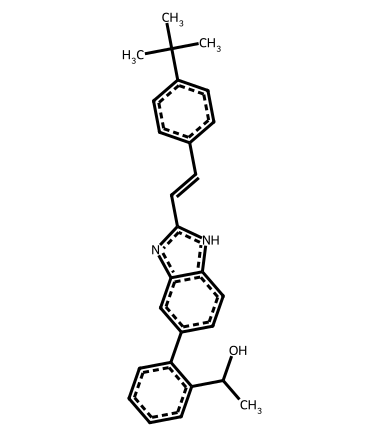 CC(O)c1ccccc1-c1ccc2[nH]c(/C=C/c3ccc(C(C)(C)C)cc3)nc2c1